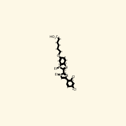 CCn1cc(-c2ccc(Cl)cc2Cl)nc1-c1nc2ccc(OCCCCCC(=O)O)cc2n1CC